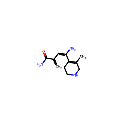 C=C(/C=C(/N)C1=C(C)CNCC1)C(N)=O